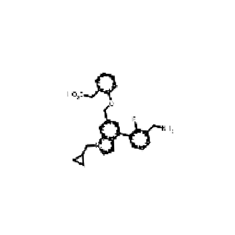 NCc1cccc(-c2cc(COc3ccccc3CC(=O)O)cc3c2ccn3CC2CC2)c1F